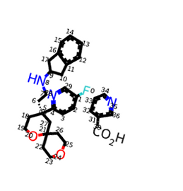 Fc1ccc([C@]2(CCNC3Cc4ccccc4C3)CCOC3(CCOCC3)C2)nc1.O=C(O)c1cccnc1